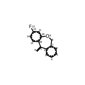 C=C1c2ccccc2COc2cc(F)ccc21